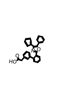 O=C(O)Cc1cccc(-c2ccccc2-c2nc(-c3ccccc3)c(-c3ccccc3)o2)c1